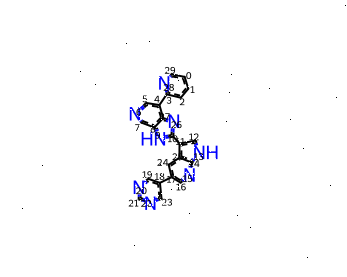 c1ccc(-c2cncc3[nH]c(-c4c[nH]c5ncc(-c6cncnc6)cc45)nc23)nc1